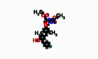 CCOC(=O)CNP(=O)(COc1cc(C)c(Cc2ccc(O)c(Cc3ccc(F)cc3)c2)c(C)c1)NCC(=O)OCC